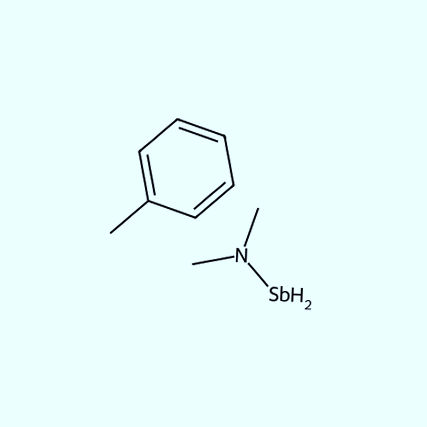 C[N](C)[SbH2].Cc1ccccc1